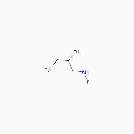 CCC(C)CNF